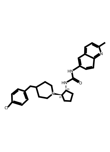 Cc1ccc2cc(NC(=O)N[C@@H]3CCC[C@H]3N3CCC(Cc4ccc(Cl)cc4)CC3)ccc2n1